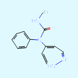 CC(C)NC(=O)N(C1=CC=NNC=C1)c1ccccc1